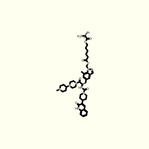 Cc1cc(C[C@@H](NC(=O)N2CCC(c3cc4ccccc4[nH]c3=O)CC2)C(=O)N2CCN(C3CCN(C)CC3)CC2)cc2cnn(COC(=O)CCCCCOC(=O)[C@@H](N)C(C)C)c12